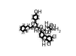 CCC(C)C(NC(=O)OC1(NC(=O)C(CCc2ccc(O)cc2)NC(=O)CCc2ccccc2F)CCc2[nH]c3c(Cl)cc(Cl)cc3c2C1)C(N)=O